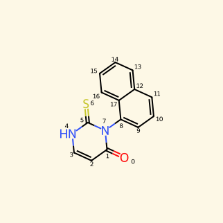 O=c1cc[nH]c(=S)n1-c1cccc2ccccc12